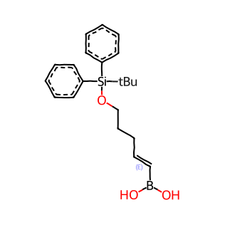 CC(C)(C)[Si](OCCC/C=C/B(O)O)(c1ccccc1)c1ccccc1